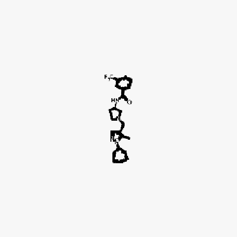 Cc1c(CN2CC[C@@H](NC(=O)c3cccc(C(F)(F)F)c3)C2)cnn1-c1ccccc1